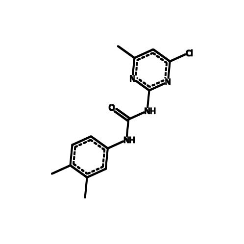 Cc1cc(Cl)nc(NC(=O)Nc2ccc(C)c(C)c2)n1